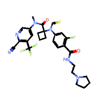 CN(C(=O)C1(N(C=S)c2ccc(C(=O)NCCN3CCCC3)c(F)c2)CCC1)c1cnc(C#N)c(C(F)(F)F)c1